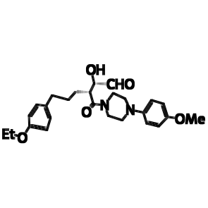 CCOc1ccc(CCC[C@@H](C(=O)N2CCN(c3ccc(OC)cc3)CC2)[C@H](O)C=O)cc1